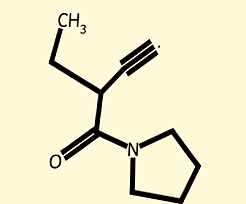 [C]#CC(CC)C(=O)N1CCCC1